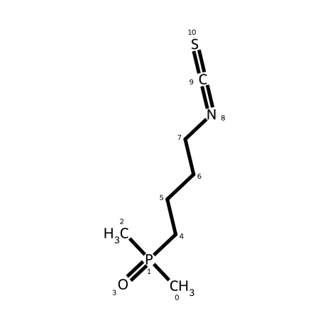 CP(C)(=O)CCCCN=C=S